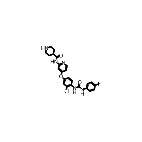 O=C(Nc1ccc(F)cc1)Nc1ccc(Oc2ccnc(NC(=O)C3CCNCC3)c2)cc1Cl